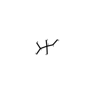 CCC(C)(C)[C](C)C